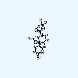 CCOC1(c2ccc(Br)nc2)CCCN(C(=O)OC(C)(C)C)C1